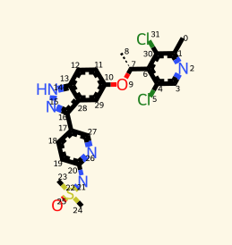 Cc1ncc(Cl)c([C@@H](C)Oc2ccc3[nH]nc(-c4ccc(N=S(C)(C)=O)nc4)c3c2)c1Cl